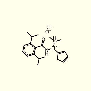 CC(C)c1cccc(C(C)C)c1C(=O)[NH][Ti+2]([C]1=CC=CC1)[SiH](C)C.[Cl-].[Cl-]